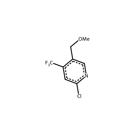 COCc1cnc(Cl)cc1C(F)(F)F